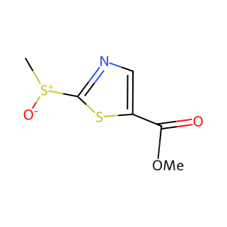 COC(=O)c1cnc([S+](C)[O-])s1